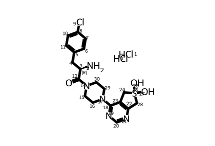 Cl.Cl.N[C@H](Cc1ccc(Cl)cc1)C(=O)N1CCN(c2ncnc3c2CS(O)(O)C3)CC1